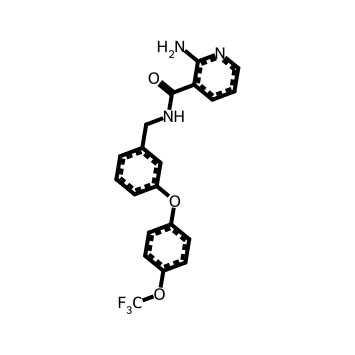 Nc1ncccc1C(=O)NCc1cccc(Oc2ccc(OC(F)(F)F)cc2)c1